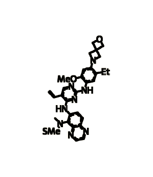 C=Cc1cnc(Nc2cc(CC)c(N3CC4(COC4)C3)cc2OC)nc1Nc1ccc2nccnc2c1N(C)SC